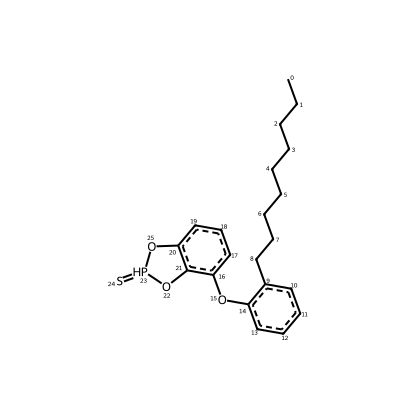 CCCCCCCCCc1ccccc1Oc1cccc2c1O[PH](=S)O2